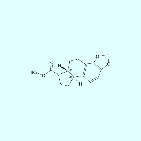 CC(C)(C)OC(=O)N1CC[C@@H]2c3ccc4c(c3CC[C@H]21)OCO4